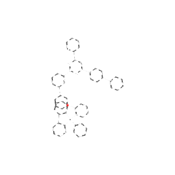 c1ccc(-c2ccc(-c3cc(-c4ccccc4)nc(-c4cccc(-c5cccc(-c6ccccc6C6(c7ccccc7)c7ccccc7-c7ccccc76)c5)c4)n3)cc2)cc1